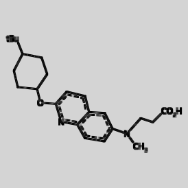 CN(CCC(=O)O)c1ccc2nc(OC3CCC(C(C)(C)C)CC3)ccc2c1